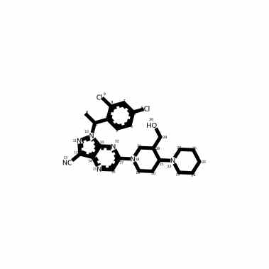 CC(c1ccc(Cl)cc1Cl)n1nc(C#N)c2ncc(N3CCC(N4CCCCC4)C(CO)C3)nc21